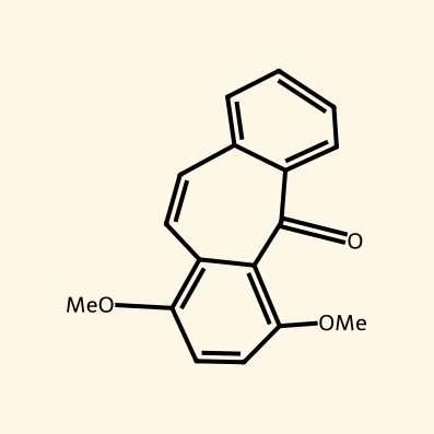 COc1ccc(OC)c2c(=O)c3ccccc3ccc12